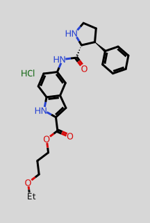 CCOCCCOC(=O)c1cc2cc(NC(=O)[C@@H]3NCC[C@H]3c3ccccc3)ccc2[nH]1.Cl